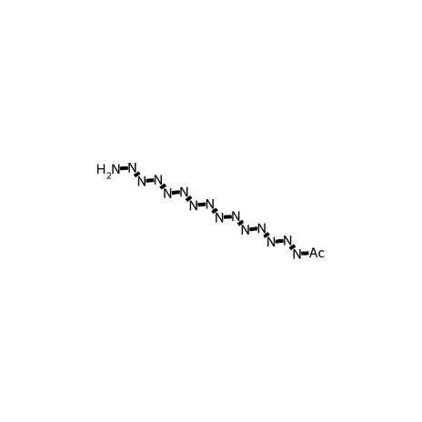 CC(=O)N=NN=NN=NN=NN=NN=NN=NN